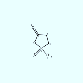 CP1(=O)CCC(=O)O1